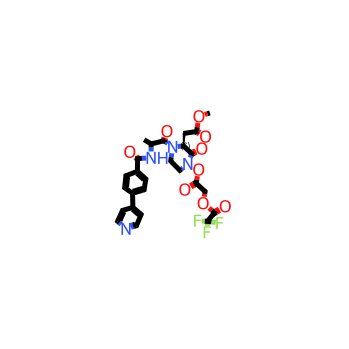 COC(=O)C[C@H]1C(=O)N(OC(=O)COC(=O)C(F)(F)F)CCN1C(=O)C(C)NC(=O)c1ccc(-c2ccncc2)cc1